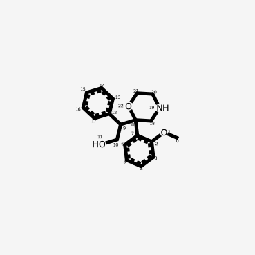 COc1ccccc1C1(C(CO)c2ccccc2)CNCCO1